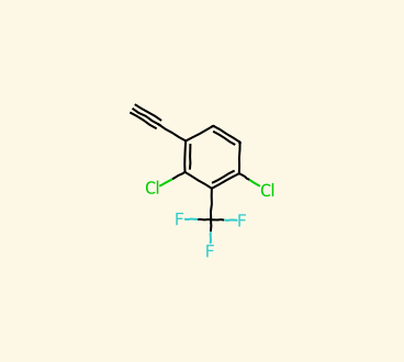 C#Cc1ccc(Cl)c(C(F)(F)F)c1Cl